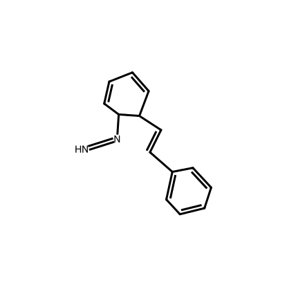 N=NC1C=CC=CC1/C=C/c1ccccc1